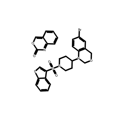 O=S(=O)(c1csc2ccccc12)N1CCC(N2COCc3cc(Br)ccc32)CC1.O=c1nc2ccccc2co1